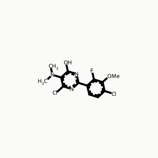 COc1c(Cl)ccc(-c2nc(O)c(N(C)C)c(Cl)n2)c1F